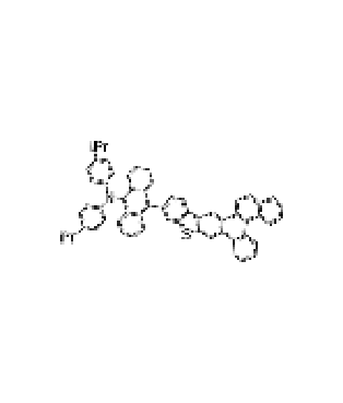 CC(C)c1ccc(N(c2ccc(C(C)C)cc2)c2c3ccccc3c(-c3ccc4c(c3)sc3cc5c6ccccc6c6c7ccccc7ccc6c5cc34)c3ccccc23)cc1